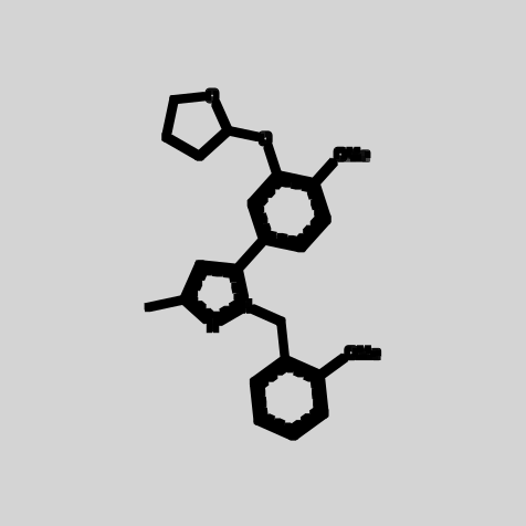 COc1ccccc1Cn1nc(C)cc1-c1ccc(OC)c(OC2CCCO2)c1